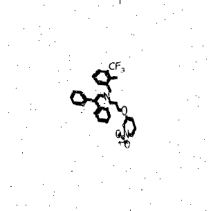 Cc1c(CN(CCCOC2CCCN(S(C)(=O)=O)C2)CC(c2ccccc2)c2ccccc2)cccc1C(F)(F)F